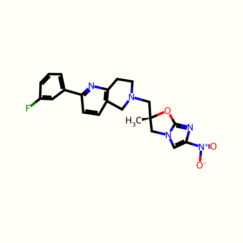 C[C@]1(CN2CCc3nc(-c4cccc(F)c4)ccc3C2)Cn2cc([N+](=O)[O-])nc2O1